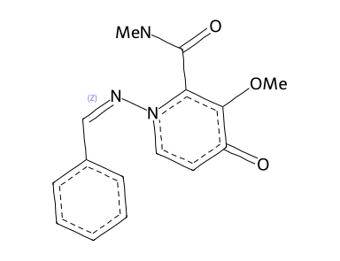 CNC(=O)c1c(OC)c(=O)ccn1/N=C\c1ccccc1